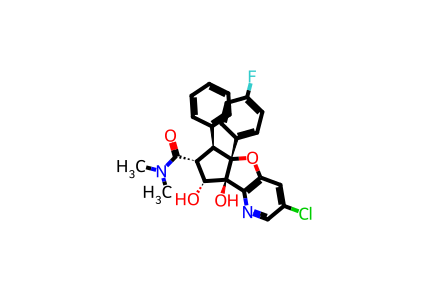 CN(C)C(=O)[C@H]1[C@@H](O)[C@@]2(O)c3ncc(Cl)cc3O[C@@]2(c2ccc(F)cc2)[C@@H]1c1ccccc1